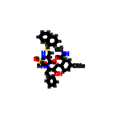 COC1CCC(CC(O)C(Cc2ccccc2)NC(=O)C(CSc2cccc3ccccc23)NS(C)(=O)=O)C(C(=O)NC(C)(C)C)C1